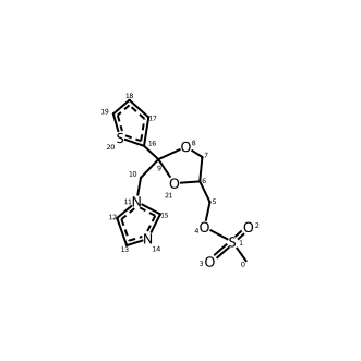 CS(=O)(=O)OCC1COC(Cn2ccnc2)(c2cccs2)O1